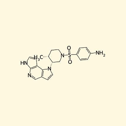 C[C@@H]1CCN(S(=O)(=O)c2ccc(N)cc2)C[C@@H]1n1ccc2cnc3[nH]ccc3c21